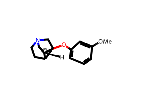 COc1cccc(O[C@H]2CN3CCC2CC3)c1